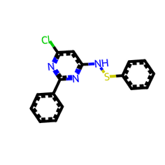 Clc1cc(NSc2ccccc2)nc(-c2ccccc2)n1